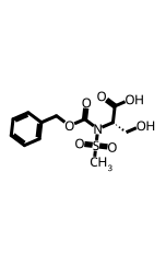 CS(=O)(=O)N(C(=O)OCc1ccccc1)[C@@H](CO)C(=O)O